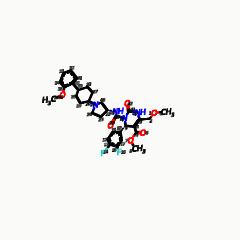 COCC1=C(C(=O)OC)[C@H](c2ccc(F)c(F)c2)N(C(=O)N[C@@H]2CCN(C3CCC(c4ccccc4OC)CC3)C2)C(=O)N1